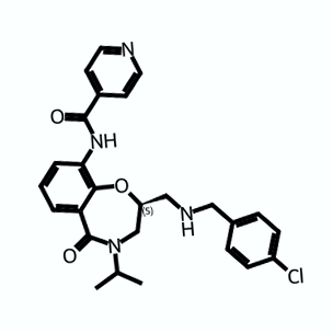 CC(C)N1C[C@H](CNCc2ccc(Cl)cc2)Oc2c(NC(=O)c3ccncc3)cccc2C1=O